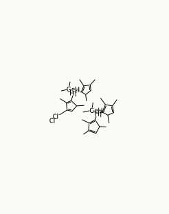 CC1=CC(C)[C]([Hf+]([C]2=C(C)C(C)=CC2C)[GeH]([CH3])[CH3])=C1C.CC1=CC(C)[C]([Hf+]([C]2=C(C)C(C)=CC2C)[GeH]([CH3])[CH3])=C1C.[Cl-].[Cl-]